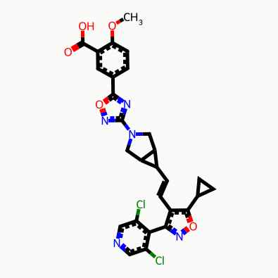 COc1ccc(-c2nc(N3CC4C(C=Cc5c(-c6c(Cl)cncc6Cl)noc5C5CC5)C4C3)no2)cc1C(=O)O